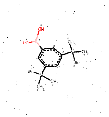 CC(C)(C)[Si](C)(C)c1cc(B(O)O)cc([Si](C)(C)C(C)(C)C)c1